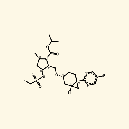 CC(C)OC(=O)N1[C@H](C)C[C@H](NS(=O)(=O)CF)[C@@H]1CO[C@@H]1CC[C@]2(c3ncc(F)cn3)C[C@@H]2C1